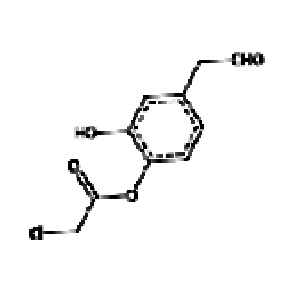 O=CCc1ccc(OC(=O)CCl)c(O)c1